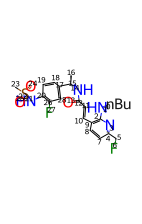 CCCCNc1nc(CF)ccc1/C=C/C(=O)N[C@H](C)c1ccc(NS(C)(=O)=O)c(F)c1